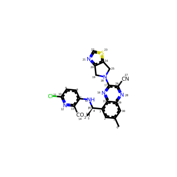 Cc1cc([C@@H](C)Nc2ccc(Cl)nc2C(=O)O)c2nc(N3Cc4ncsc4C3)c(C#N)nc2c1